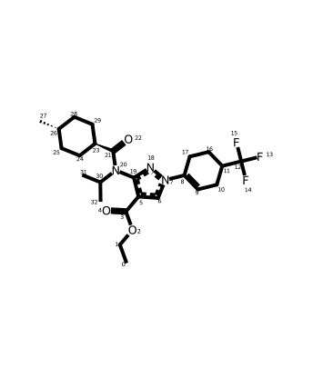 CCOC(=O)c1cn(C2=CCC(C(F)(F)F)CC2)nc1N(C(=O)[C@H]1CC[C@H](C)CC1)C(C)C